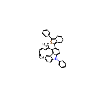 C#C/C=C\C=C(/C)c1c(-c2sc(-c3ccccc3)c3c2CCC=C3)ccc2c1c1ccccc1n2-c1ccccc1